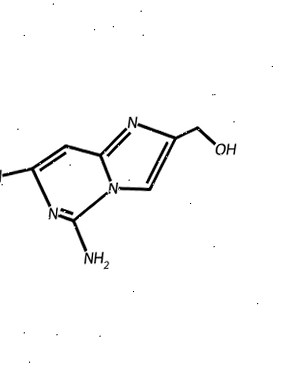 Nc1nc(Cl)cc2nc(CO)cn12